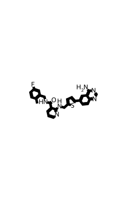 Cc1ccc(F)cc1CNC(=O)c1cccnc1NCc1ccc(-c2ccc3ncnc(N)c3c2)s1